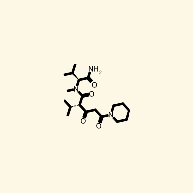 CC(C)[C@@H](C(=O)CC(=O)N1CCCCC1)C(=O)N(C)[C@H](C(N)=O)C(C)C